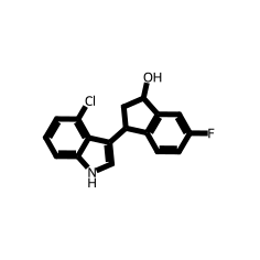 OC1CC(c2c[nH]c3cccc(Cl)c23)c2ccc(F)cc21